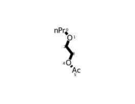 [CH2]CCOCCOC(C)=O